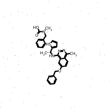 Cc1nnc(N[C@H](C)C2=CC=C[SH]2c2ccccc2CN(C)C(=O)O)c2cc(OCc3ccccc3)ccc12